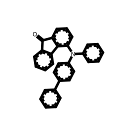 O=C1c2ccccc2-c2c1cccc2N(c1ccccc1)c1ccc(-c2ccccc2)cc1